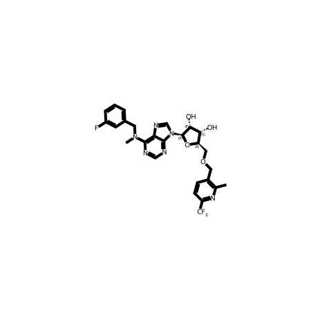 Cc1nc(C(F)(F)F)ccc1COC[C@H]1O[C@@H](n2cnc3c(N(C)Cc4cccc(F)c4)ncnc32)[C@H](O)[C@@H]1O